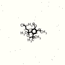 COc1cc2c(cc1OC)C(C)(CCCCl)OCC2(C)C